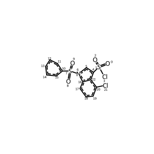 O=S(=O)(Cl)c1cn(S(=O)(=O)c2ccccc2)c2cccc(Cl)c12